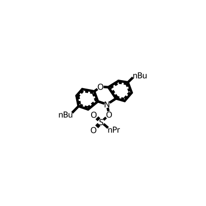 CCCCc1ccc2c(c1)Oc1ccc(CCCC)cc1N2OS(=O)(=O)CCC